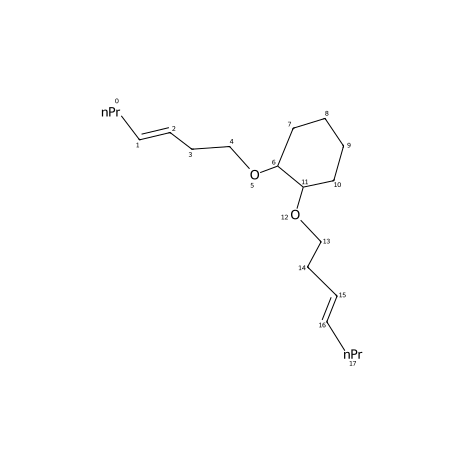 CCC/C=C/CCOC1CCCCC1OCC/C=C/CCC